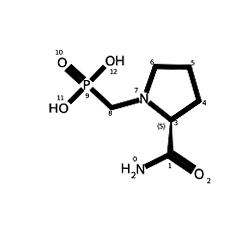 NC(=O)[C@@H]1CCCN1CP(=O)(O)O